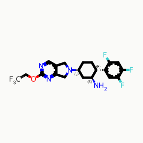 N[C@H]1C[C@@H](N2Cc3cnc(OCC(F)(F)F)nc3C2)CC[C@@H]1c1cc(F)c(F)cc1F